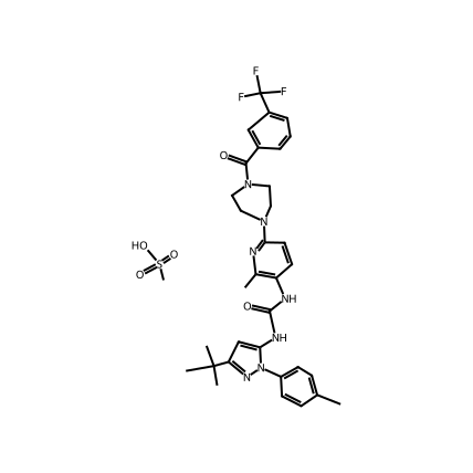 CS(=O)(=O)O.Cc1ccc(-n2nc(C(C)(C)C)cc2NC(=O)Nc2ccc(N3CCN(C(=O)c4cccc(C(F)(F)F)c4)CC3)nc2C)cc1